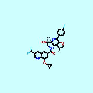 CC1COc2c1cc([C@@](O)(CNC(=O)c1cc(OC3CC3)c3ncc(C(F)F)cc3c1)C(F)(F)F)nc2-c1ccc(F)cc1